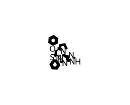 c1ccc(OC(c2nc3ccccc3s2)[C@H]2CCCN2c2ncnc3[nH]cnc23)cc1